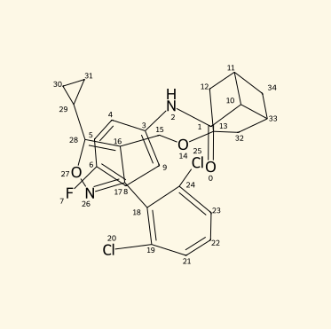 O=C(Nc1ccc(F)cc1)C1C2CC(OCc3c(-c4c(Cl)cccc4Cl)noc3C3CC3)CC1C2